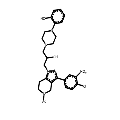 CC(=O)N1CCc2c(c(-c3ccc(Cl)c([N+](=O)[O-])c3)nn2CC(O)CN2CCN(c3ccccc3C#N)CC2)C1